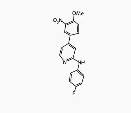 COc1ccc(-c2ccnc(Nc3ccc(F)cc3)c2)cc1[N+](=O)[O-]